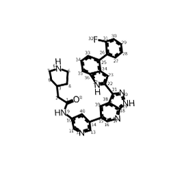 O=C(CC1CCNCC1)Nc1cncc(-c2cnc3[nH]nc(-c4cc5c(-c6ccccc6F)cccc5[nH]4)c3c2)c1